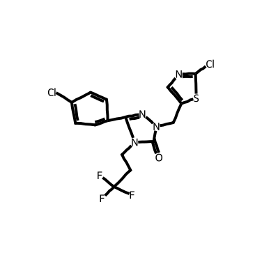 O=c1n(Cc2cnc(Cl)s2)nc(-c2ccc(Cl)cc2)n1CCC(F)(F)F